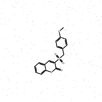 COc1ccc(CS(=O)(=O)c2cc3ccccc3sc2=O)cc1